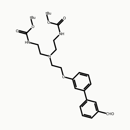 CC(C)(C)OC(=O)NCCN(CCNC(=O)OC(C)(C)C)CCOc1cccc(-c2cccc(C=O)c2)c1